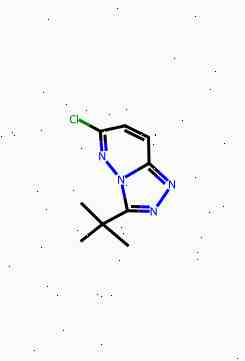 CC(C)(C)c1nnc2ccc(Cl)nn12